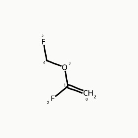 C=C(F)OCF